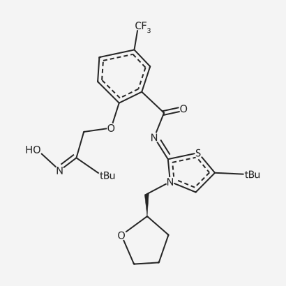 CC(C)(C)/C(COc1ccc(C(F)(F)F)cc1C(=O)/N=c1\sc(C(C)(C)C)cn1C[C@H]1CCCO1)=N/O